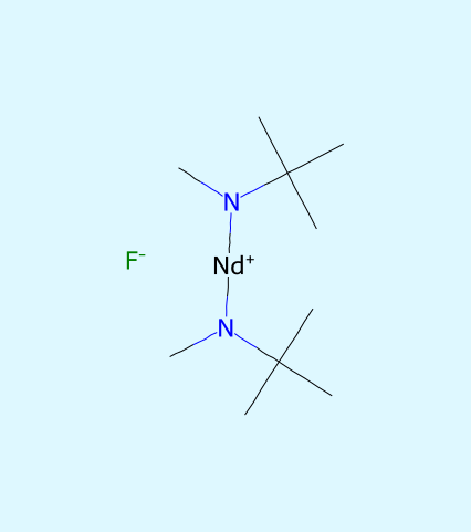 C[N]([Nd+][N](C)C(C)(C)C)C(C)(C)C.[F-]